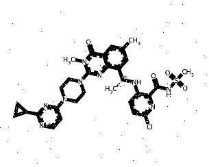 Cc1cc([C@@H](C)Nc2ccc(Cl)nc2C(=O)NS(C)(=O)=O)c2nc(N3CCN(c4ccnc(C5CC5)n4)CC3)n(C)c(=O)c2c1